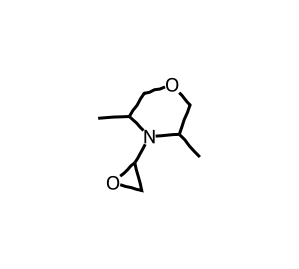 CC1COCC(C)N1C1CO1